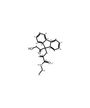 C=C(CC1(C(=O)CO)c2ccccc2-c2ccccc21)C(=O)OCC